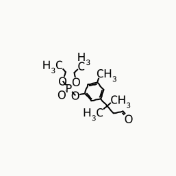 CCOP(=O)(OCC)Oc1cc(C)cc(C(C)(C)CC=O)c1